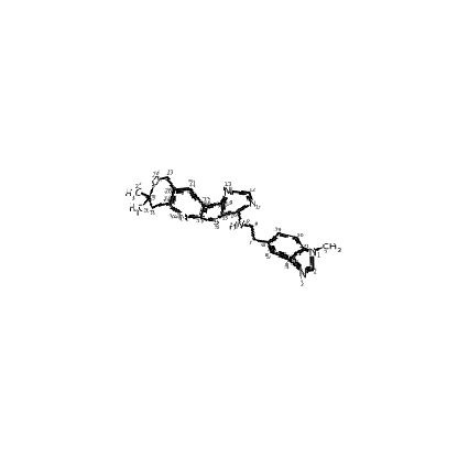 Cn1cnc2cc(CCNc3ncnc4c3sc3nc5c(cc34)COC(C)(C)C5)ccc21